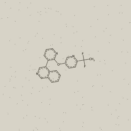 CC(F)(F)c1ccc(Oc2ncccc2-c2cncc3ccccc23)cn1